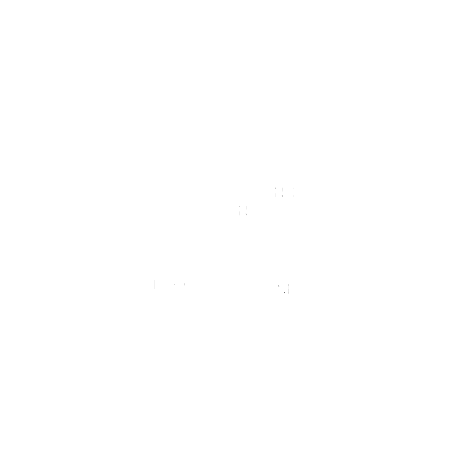 Nc1ccc(C(=O)O)cc1.O=C1CC(=O)N(c2ccccc2)C(=O)N1